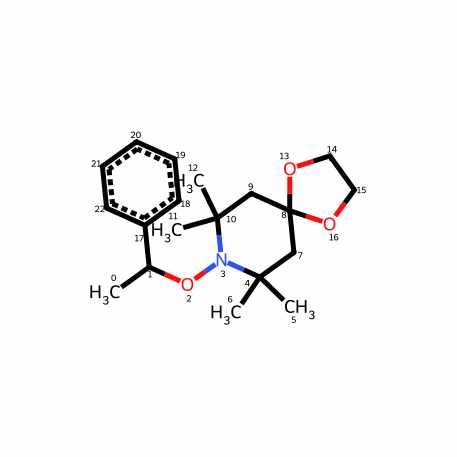 CC(ON1C(C)(C)CC2(CC1(C)C)O[CH]CO2)c1ccccc1